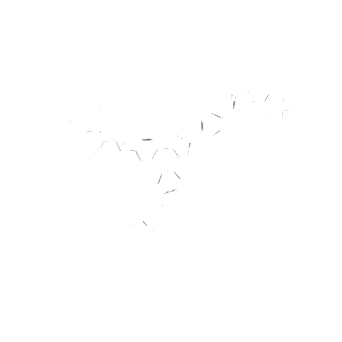 CCCCCCN(CCCCCC)C(=O)/C=C/c1ccc(-c2[nH]c(-c3ccc(C4=NOC(C(=O)OC(C)(C)C)C4)cc3)nc2-c2ccc(OCC(=O)OC(C)(C)C)cc2)cc1